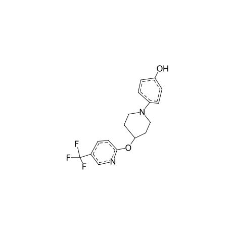 Oc1ccc(N2CCC(Oc3ccc(C(F)(F)F)cn3)CC2)cc1